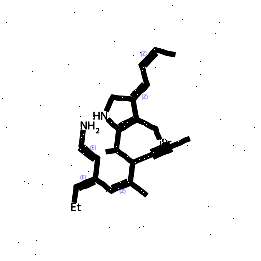 CC#CC(\C(C)=C/C(/C=C/N)=C\CC)C(C)C1=C(CC(C)C)/C(=C/C=C\C)CN1